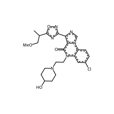 COCC(C)c1nc(-c2ncn3c2c(=O)n(CCN2CCC(O)CC2)c2cc(Cl)ccc23)no1